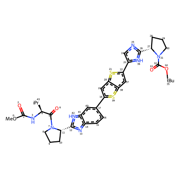 COC(=O)N[C@H](C(=O)N1CCC[C@H]1c1nc2ccc(-c3cc4sc(-c5cnc([C@@H]6CCCN6C(=O)OC(C)(C)C)[nH]5)cc4s3)cc2[nH]1)C(C)C